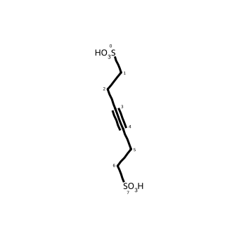 O=S(=O)(O)CCC#CCCS(=O)(=O)O